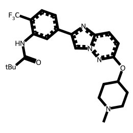 CN1CCC(Oc2ccc3nc(-c4ccc(C(F)(F)F)c(NC(=O)C(C)(C)C)c4)cn3n2)CC1